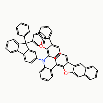 c1ccc(C2(c3ccccc3)c3ccccc3-c3ccc(N(c4ccccc4-c4cccc5c4oc4cc6ccccc6cc45)c4cccc5c4oc4ccccc45)cc32)cc1